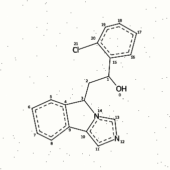 OC(CC1c2ccccc2-c2cncn21)c1ccccc1Cl